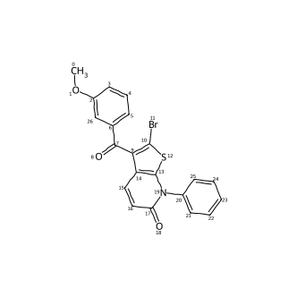 COc1cccc(C(=O)c2c(Br)sc3c2ccc(=O)n3-c2ccccc2)c1